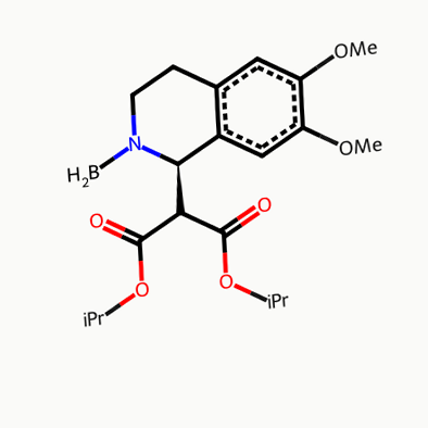 BN1CCc2cc(OC)c(OC)cc2[C@H]1C(C(=O)OC(C)C)C(=O)OC(C)C